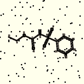 CCOC(=O)NS(=O)(=O)c1cccnc1